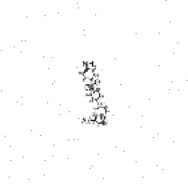 CC(=O)c1cnn2ccc(C3CCN(S(=O)(=O)c4ccc(N)cc4)CC3)cc12